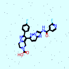 O=C(Nc1cn2nc(-c3c(-c4ccc(F)cc4)nn4c3CN(C(=O)O)CC4)ccc2n1)c1ccnc(F)c1